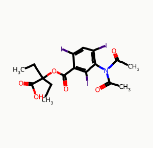 CCC(CC)(OC(=O)c1c(I)cc(I)c(N(C(C)=O)C(C)=O)c1I)C(=O)O